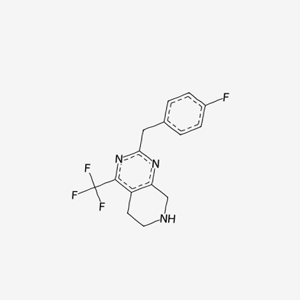 Fc1ccc(Cc2nc3c(c(C(F)(F)F)n2)CCNC3)cc1